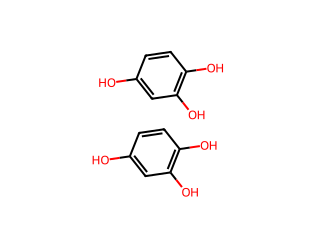 Oc1ccc(O)c(O)c1.Oc1ccc(O)c(O)c1